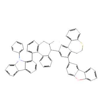 CC1Cc2cccc(-c3cccc4c5ccccc5n(-c5ccccc5)c34)c2-c2ccccc2C1c1cc(-c2ccc3oc4ccccc4c3c2)c2c(c1)-c1ccccc1SCC2